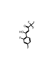 O=C(C=C(O)c1ccc(F)cc1F)C(F)(F)F